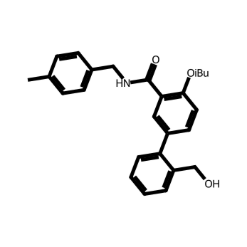 Cc1ccc(CNC(=O)c2cc(-c3ccccc3CO)ccc2OCC(C)C)cc1